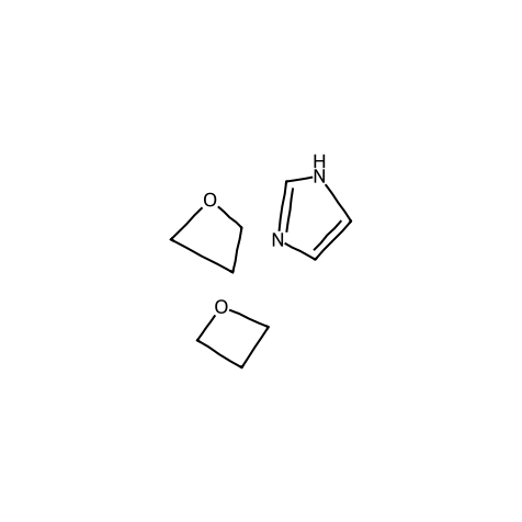 C1COC1.C1COC1.c1c[nH]cn1